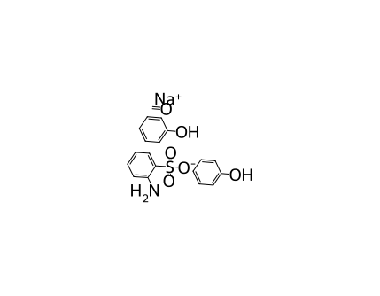 C=O.Nc1ccccc1S(=O)(=O)[O-].Oc1ccccc1.Oc1ccccc1.[Na+]